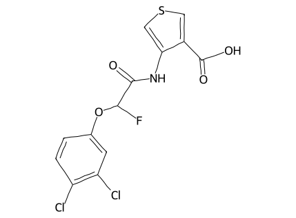 O=C(O)c1cscc1NC(=O)C(F)Oc1ccc(Cl)c(Cl)c1